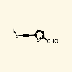 O=Cc1ccc(C#CSI)s1